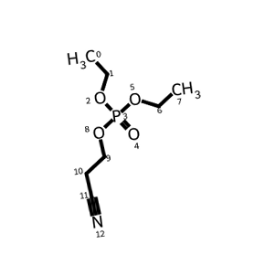 CCOP(=O)(OCC)OCCC#N